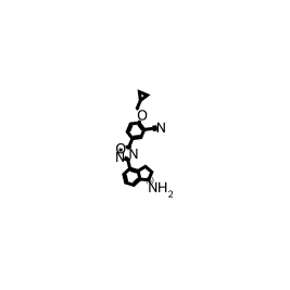 N#Cc1cc(-c2nc(-c3cccc4c3CC[C@@H]4N)no2)ccc1OCC1CC1